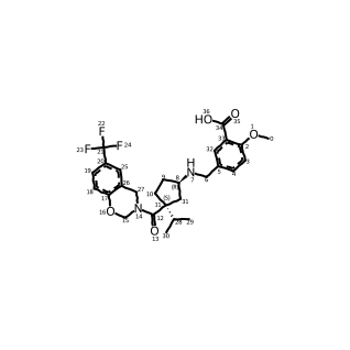 COc1ccc(CN[C@@H]2CC[C@@](C(=O)N3COc4ccc(C(F)(F)F)cc4C3)(C(C)C)C2)cc1C(=O)O